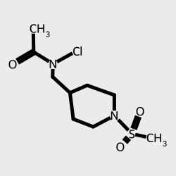 CC(=O)N(Cl)CC1CCN(S(C)(=O)=O)CC1